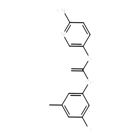 Nc1ccc(NC(=S)Nc2cc(Cl)cc(Cl)c2)cn1